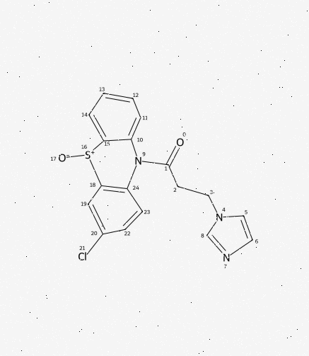 O=C(CCn1ccnc1)N1c2ccccc2[S+]([O-])c2cc(Cl)ccc21